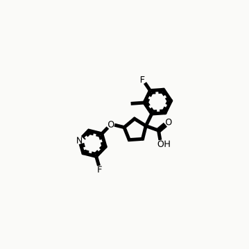 Cc1c(F)cccc1C1(C(=O)O)CCC(Oc2cncc(F)c2)C1